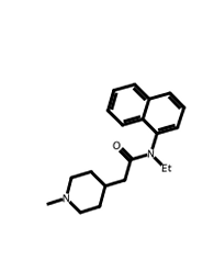 CCN(C(=O)CC1CCN(C)CC1)c1cccc2ccccc12